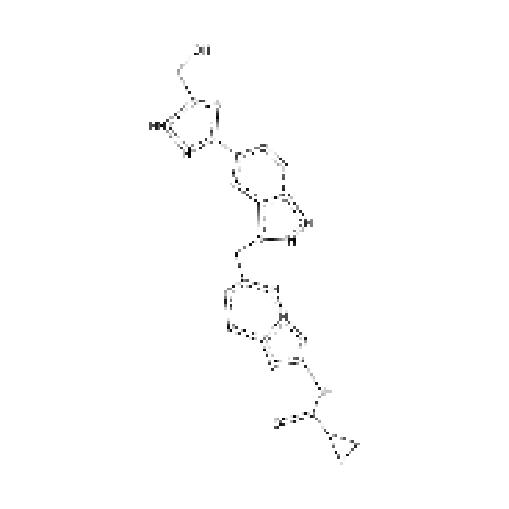 O=C(Nc1cn2nc(Cn3nnc4ccc(-c5n[nH]c(CO)n5)cc43)ccc2n1)C1CC1